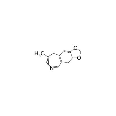 CC1=NN=CC2=C(C=C3OCOC3C2)C1